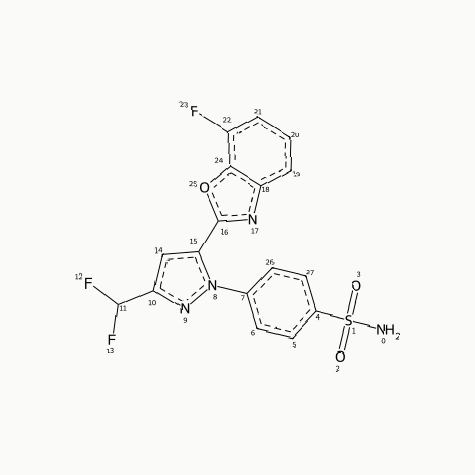 NS(=O)(=O)c1ccc(-n2nc(C(F)F)cc2-c2nc3cccc(F)c3o2)cc1